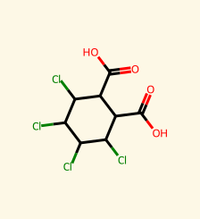 O=C(O)C1C(Cl)C(Cl)C(Cl)C(Cl)C1C(=O)O